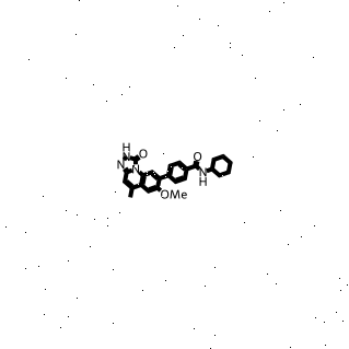 COc1cc2c(C)cc3n[nH]c(=O)n3c2cc1-c1ccc(C(=O)NC2CCCCC2)cc1